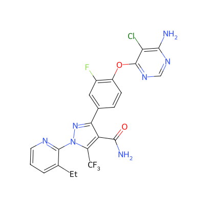 CCc1cccnc1-n1nc(-c2ccc(Oc3ncnc(N)c3Cl)c(F)c2)c(C(N)=O)c1C(F)(F)F